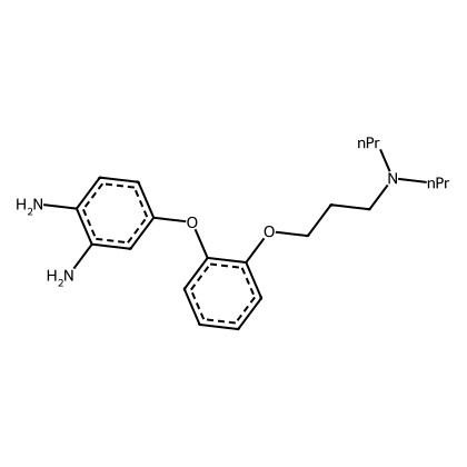 CCCN(CCC)CCCOc1ccccc1Oc1ccc(N)c(N)c1